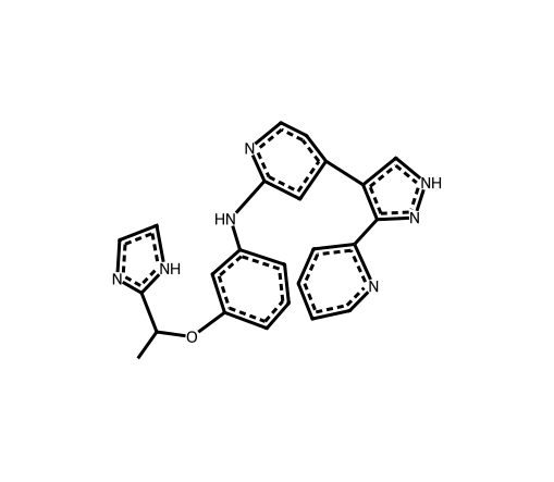 CC(Oc1cccc(Nc2cc(-c3c[nH]nc3-c3ccccn3)ccn2)c1)c1ncc[nH]1